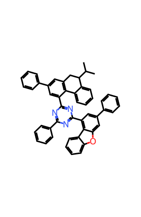 CC(C)C1Cc2cc(-c3ccccc3)cc(-c3nc(-c4ccccc4)nc(-c4cc(-c5ccccc5)cc5oc6ccccc6c45)n3)c2-c2ccccc21